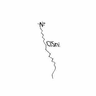 CCCCCCCCCCCCCCCCCC[N+](C)(C)C.[Cl-].[Sn]